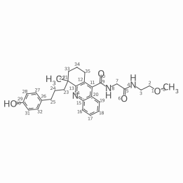 COCCNC(=O)CNC(=O)c1c2c(nc3ccccc13)C(C)(CCCc1ccc(O)cc1)CCC2